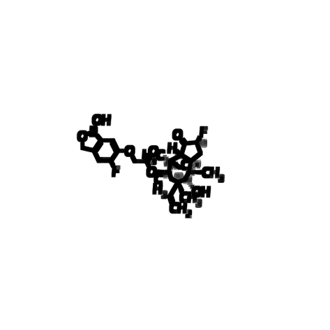 C=C[C@]1(C)C[C@@H](OC(=O)COc2cc3c(cc2F)COB3O)[C@]2(C)[C@H](C)CC[C@]3(C[C@H](F)C(=O)[C@H]32)[C@@H](C)[C@@H]1O